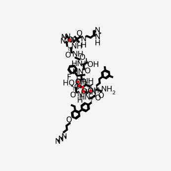 CCc1cc(OCCCCN=[N+]=[N-])ccc1-c1ccc(C[C@H](NC(=O)[C@H](CC(=O)O)NC(=O)[C@H](CO)NC(=O)[C@@H](NC(=O)C(C)(Cc2ccccc2F)NC(=O)[C@@H](NC(=O)CNC(=O)[C@H](Cc2nnn[nH]2)NC(=O)C(C)(C)C(=O)NCCc2cnc[nH]2)[C@@H](C)O)[C@@H](C)O)C(=O)N[C@@H](CCCc2cc(C)cc(C)c2)C(N)=O)cc1